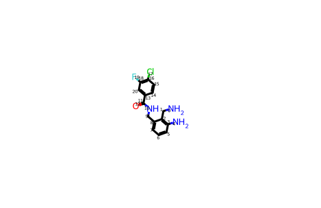 NCc1c(N)cccc1CNC(=O)c1ccc(Cl)c(F)c1